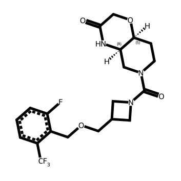 O=C1CO[C@H]2CCN(C(=O)N3CC(COCc4c(F)cccc4C(F)(F)F)C3)C[C@H]2N1